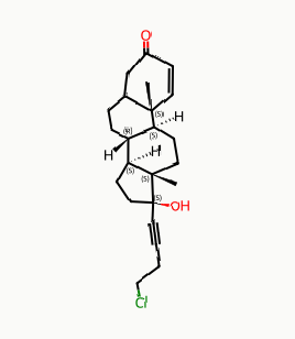 C[C@]12C=CC(=O)CC1CC[C@@H]1[C@@H]2CC[C@@]2(C)[C@H]1CC[C@@]2(O)C#CCCCl